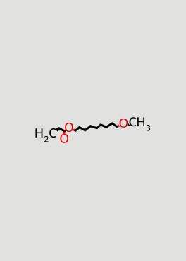 C=CC(=O)OCCCCCCCCCOCC